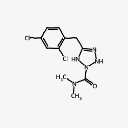 CN(C)C(=O)N1NN=C(Cc2ccc(Cl)cc2Cl)N1